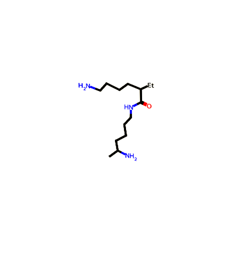 CCC(CCCCN)C(=O)NCCCCC(C)N